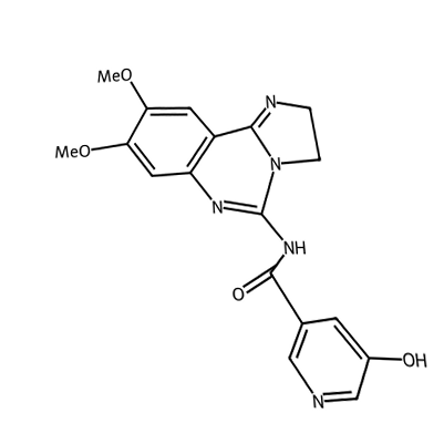 COc1cc2c(cc1OC)C1=NCCN1C(NC(=O)c1cncc(O)c1)=N2